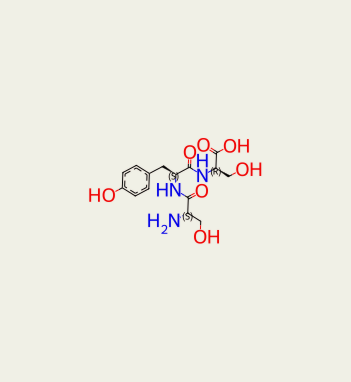 N[C@@H](CO)C(=O)N[C@@H](Cc1ccc(O)cc1)C(=O)N[C@H](CO)C(=O)O